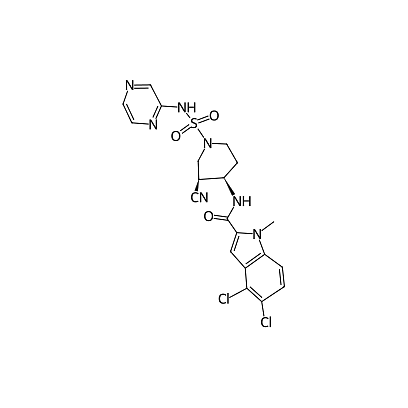 Cn1c(C(=O)N[C@@H]2CCN(S(=O)(=O)Nc3cnccn3)C[C@@H]2C#N)cc2c(Cl)c(Cl)ccc21